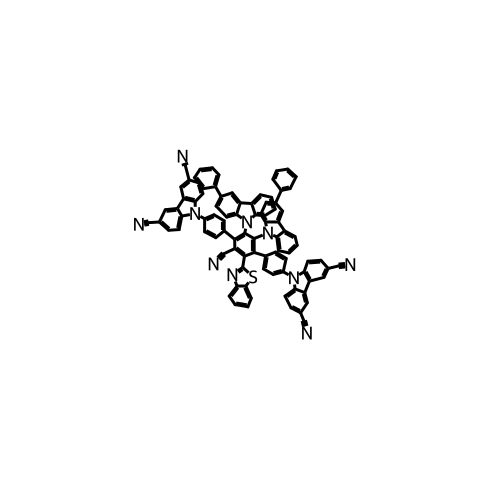 N#Cc1ccc2c(c1)c1cc(C#N)ccc1n2-c1ccc(-c2c(C#N)c(-c3nc4ccccc4s3)c(-c3ccc(-n4c5ccc(C#N)cc5c5cc(C#N)ccc54)cc3)c(-n3c4ccccc4c4cc(-c5ccccc5)ccc43)c2-n2c3ccccc3c3cc(-c4ccccc4)ccc32)cc1